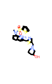 CN(c1cccc2cc(-c3ncc(CN4CCCC(O)C4)s3)[nH]c12)S(=O)(=O)c1cccs1